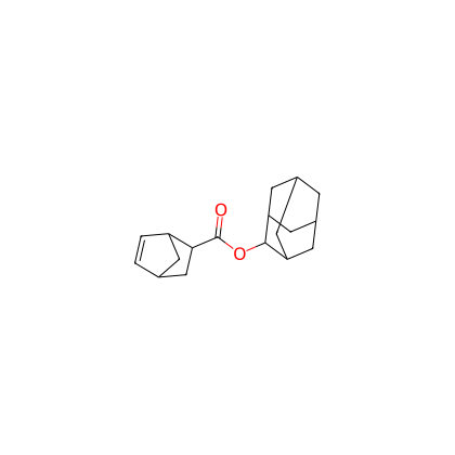 O=C(OC1C2CC3CC(C2)CC1C3)C1CC2C=CC1C2